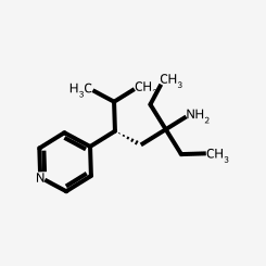 CCC(N)(CC)C[C@H](c1ccncc1)C(C)C